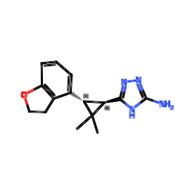 CC1(C)[C@H](c2nnc(N)[nH]2)[C@H]1c1cccc2c1CCO2